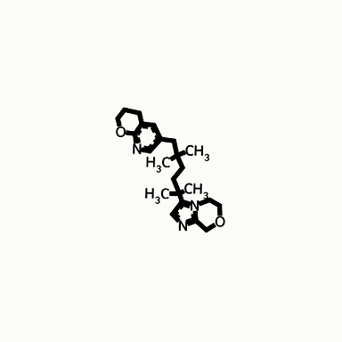 CC(C)(CCC(C)(C)c1cnc2n1CCOC2)Cc1cnc2c(c1)CCCO2